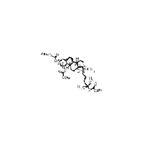 COC(=O)O[C@@H]1CC2=CC=C3[C@@H]4CC[C@H]([C@H](C)CCCC(C)(C)OC(=O)OC)[C@@]4(C)CC[C@@H]3[C@@]2(C)[C@@H](OC(=O)OC)C1